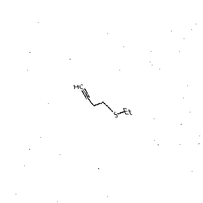 C#CCCSCC